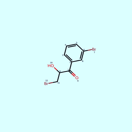 O=C(c1cccc(Br)c1)C(O)CBr